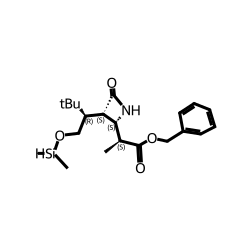 C[C@H](C(=O)OCc1ccccc1)[C@H]1NC(=O)[C@H]1[C@@H](CO[SiH](C)C)C(C)(C)C